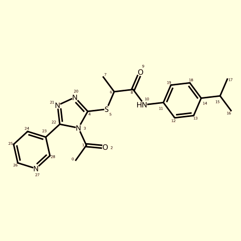 CC(=O)n1c(SC(C)C(=O)Nc2ccc(C(C)C)cc2)nnc1-c1cccnc1